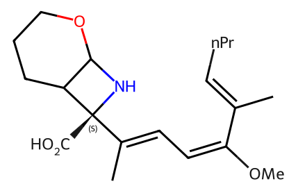 CCCC=C(C)C(=CC=C(C)[C@@]1(C(=O)O)NC2OCCCC21)OC